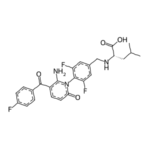 CC(C)C[C@H](NCc1cc(F)c(-n2c(N)c(C(=O)c3ccc(F)cc3)ccc2=O)c(F)c1)C(=O)O